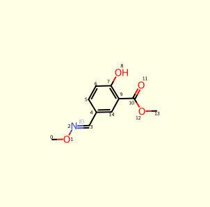 CO/N=C/c1ccc(O)c(C(=O)OC)c1